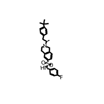 C[C@H](Cc1ccc(C(C)(C)C)cc1)N1CCc2cc(S(=O)(=O)Nc3ccc(F)cc3)ccc2C1